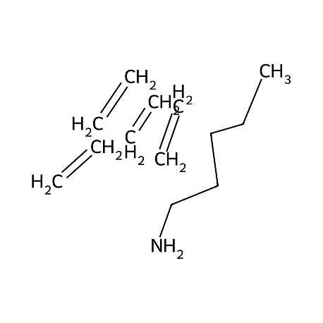 C=C.C=C.C=C.C=C.CCCCCN